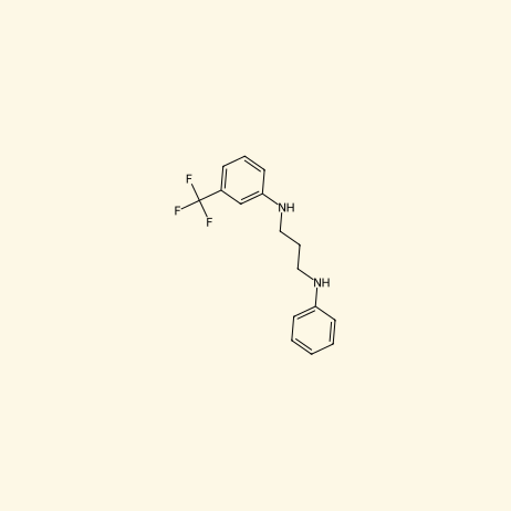 FC(F)(F)c1cccc(NCCCNc2ccccc2)c1